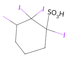 O=S(=O)(O)C1(I)CCCC(I)C1(I)I